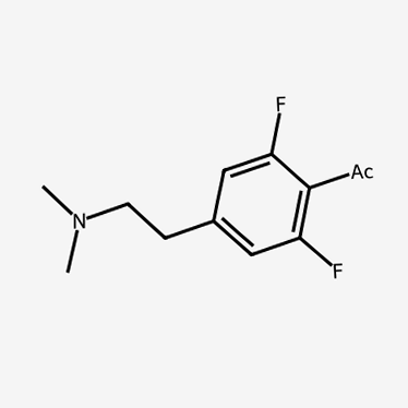 CC(=O)c1c(F)cc(CCN(C)C)cc1F